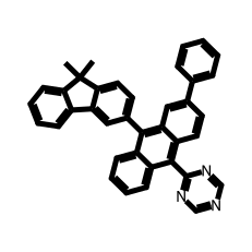 CC1(C)c2ccccc2-c2cc(-c3c4ccccc4c(-c4ncncn4)c4ccc(-c5ccccc5)cc34)ccc21